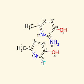 Cc1ccc(O)c(F)n1.Cc1ccc(O)c(N)n1